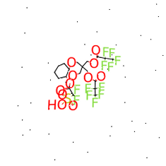 O=C(OCC1(COC(=O)C(F)(F)C(F)(F)F)COC2(CCCCC2OC(=O)C(F)(F)S(=O)(=O)O)OC1)C(F)(F)C(F)(F)F